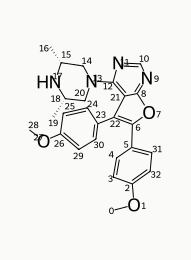 COc1ccc(-c2oc3ncnc(N4C[C@@H](C)N[C@@H](C)C4)c3c2-c2ccc(OC)cc2)cc1